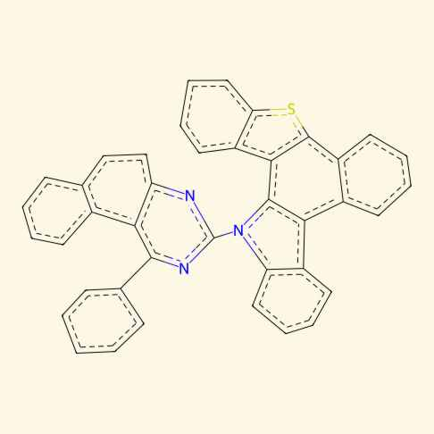 c1ccc(-c2nc(-n3c4ccccc4c4c5ccccc5c5sc6ccccc6c5c43)nc3ccc4ccccc4c23)cc1